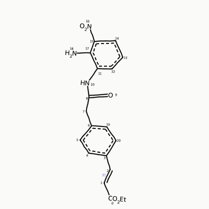 CCOC(=O)/C=C/c1ccc(CC(=O)Nc2cccc([N+](=O)[O-])c2N)cc1